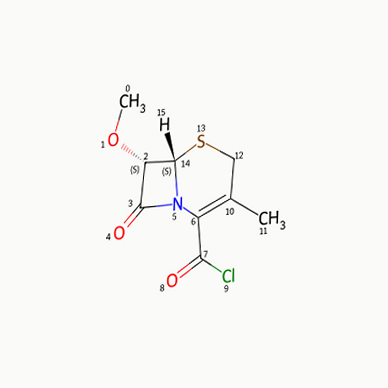 CO[C@H]1C(=O)N2C(C(=O)Cl)=C(C)CS[C@@H]12